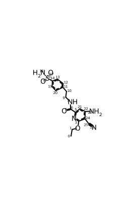 CCOc1nc(C(=O)NCCc2ccc(S(N)(=O)=O)cc2)cc(N)c1C#N